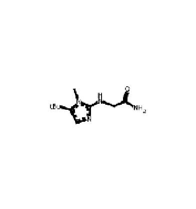 Cn1c(C(C)(C)C)cnc1NCC(N)=O